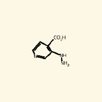 NNc1cnccc1C(=O)O